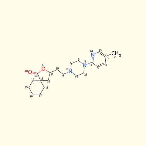 Cc1ccc(N2CCN(CCC3CC4(CCCCC4)C(=O)O3)CC2)nc1